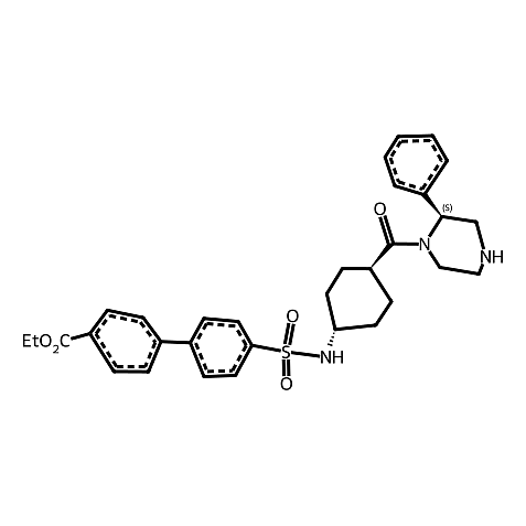 CCOC(=O)c1ccc(-c2ccc(S(=O)(=O)N[C@H]3CC[C@H](C(=O)N4CCNC[C@@H]4c4ccccc4)CC3)cc2)cc1